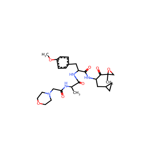 COc1ccc(CC(NC(=O)C(C)NC(=O)CN2CCOCC2)C(=O)NC(CC2CC2)C(=O)C2(C)CO2)cc1